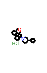 Cl.c1ccc(C2CCCN(CCC3(c4ccccc4)COCc4ccccc43)CC2)cc1